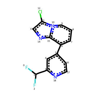 FC(F)c1cc(-c2cccn3c(Cl)cnc23)ccn1